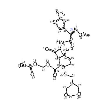 CO/N=C(\C(=O)NC1C(=O)N2C(C(=O)OCOC(=O)C(C)(C)C)=C(SCC3COCOC3)CS[C@@H]12)c1csc(N)n1